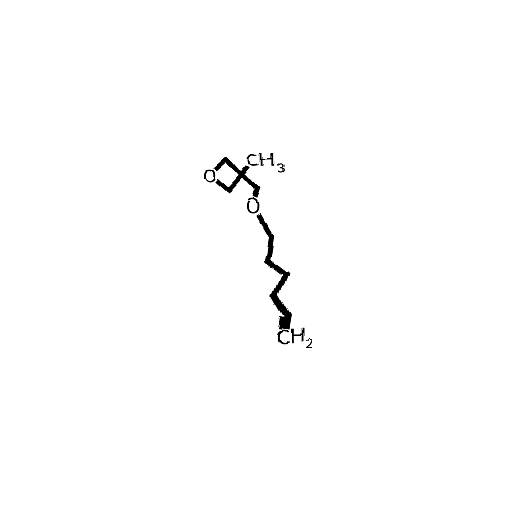 C=CCCCCOCC1(C)COC1